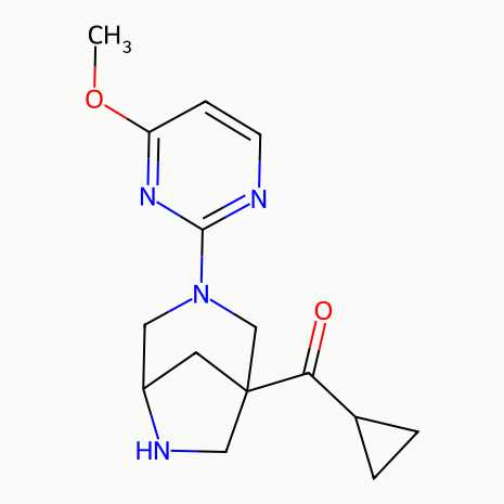 COc1ccnc(N2CC3CC(C(=O)C4CC4)(CN3)C2)n1